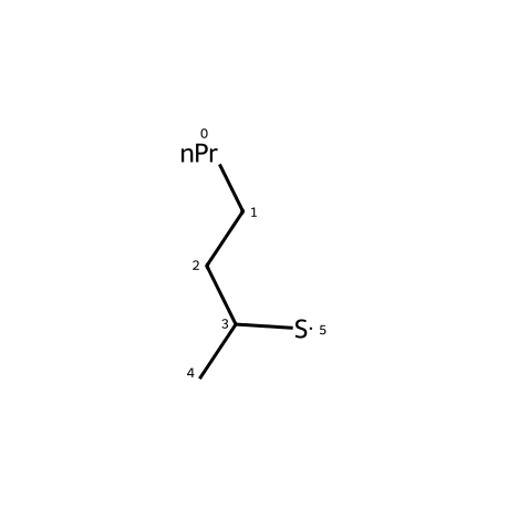 CCCCCC(C)[S]